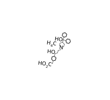 C.O=C(O)Cc1ccc(C(O)CCCN2CCC(C(O)(c3ccccc3)c3ccccc3)CC2)cc1